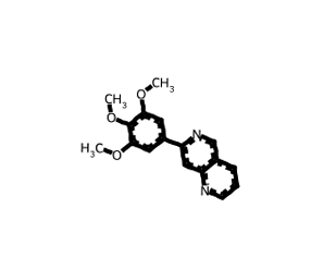 COc1cc(-c2cc3ncccc3cn2)cc(OC)c1OC